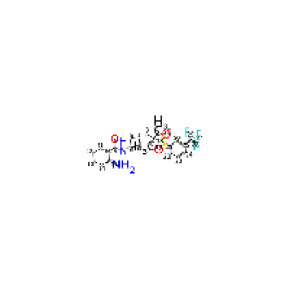 CC(C)(C[C@H]1C[C@@H](NC(=O)[C@@H]2CCCC[C@H]2N)C1)S(=O)(=O)c1cccc(C(F)(F)F)c1